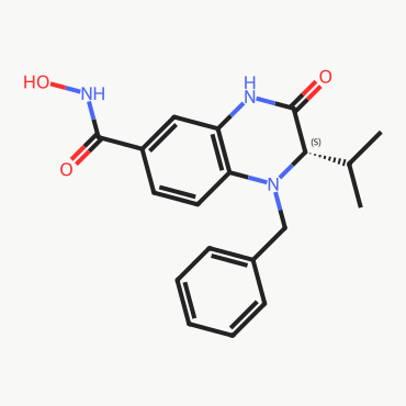 CC(C)[C@H]1C(=O)Nc2cc(C(=O)NO)ccc2N1Cc1ccccc1